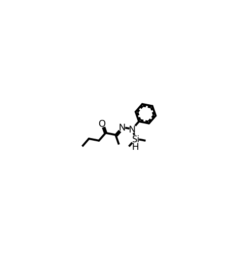 CCCC(=O)C(C)=NN(c1ccccc1)[SiH](C)C